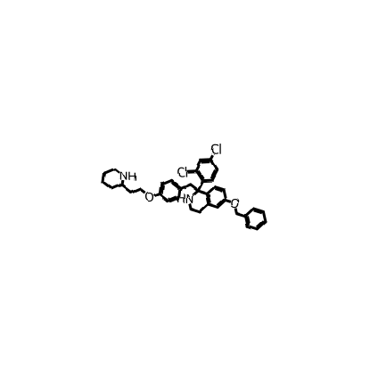 Clc1ccc(C2(Cc3ccc(OCCC4CCCCN4)cc3)NCCc3cc(OCc4ccccc4)ccc32)c(Cl)c1